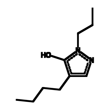 CCCCc1cnn(CCC)c1O